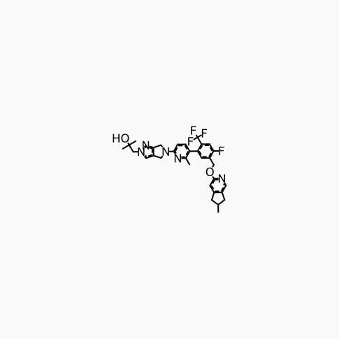 Cc1nc(N2Cc3cn(CC(C)(C)O)nc3C2)ccc1-c1cc(COc2cc3c(cn2)CC(C)C3)c(F)cc1C(F)(F)F